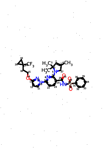 CC1=CC(C)(C)N(c2nc(-n3ccc(OCCC4(C(F)(F)F)CC4)n3)ccc2C(=O)NS(=O)(=O)c2ccccc2)C1